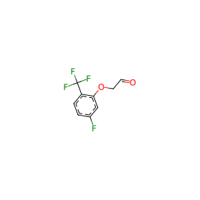 O=CCOc1cc(F)ccc1C(F)(F)F